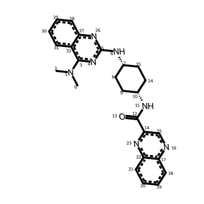 CN(C)c1nc(N[C@H]2CC[C@@H](NC(=O)c3cnc4ccccc4n3)CC2)nc2ccccc12